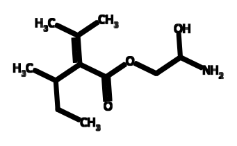 CCC(C)C(C(=O)OCC(N)O)=C(C)C